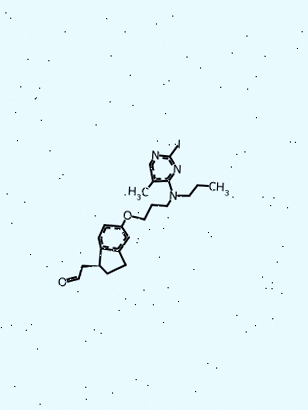 CCCN(CCCOc1ccc2c(c1)CC[C@H]2CC=O)c1nc(I)ncc1C